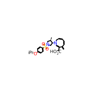 C=C1/C=C\C=C/CN([C@H]2CN(S(=O)(=O)c3ccc(OC(C)C)cc3)C[C@H]2C)/C=C\1CC(=O)O